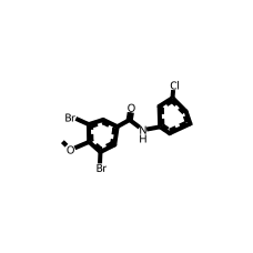 COc1c(Br)cc(C(=O)Nc2cccc(Cl)c2)cc1Br